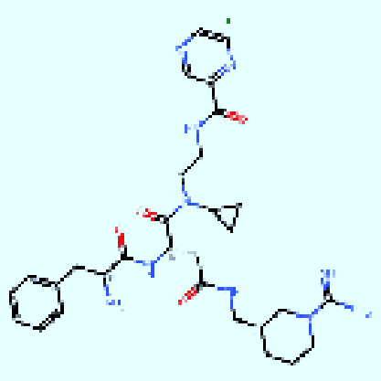 Cl.N=C(N)N1CCC[C@@H](CNC(=O)C[C@H](NC(=O)[C@@H](N)Cc2ccccc2)C(=O)N(CCNC(=O)c2cnccn2)C2CC2)C1